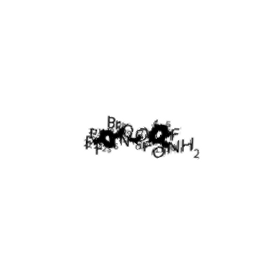 C[C@@H](Oc1ccc(F)c(C(N)=O)c1F)c1nc(-c2ccc(C(F)(F)F)cc2)c(Br)o1